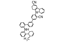 CC1C=CCCC1c1ccccc1Nc1ccccc1-c1cccc(-c2ccc(N3C4=C(C=C(C#N)CC4)C4C=CC=CC43)c(C#N)c2)c1